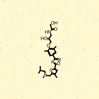 Cc1cc(-c2nc(-c3cc(C)c(OC[C@@H](O)CNC(=O)CO)c(C)c3)no2)sc1CN(C)CC(C)C